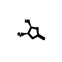 N[C@H]1CC(=O)O[C@H]1O